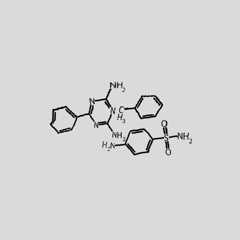 Cc1ccccc1.Nc1ccc(S(N)(=O)=O)cc1.Nc1nc(N)nc(-c2ccccc2)n1